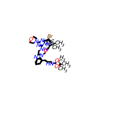 CC(C)(C)OC(=O)NCCCc1cccc2nc(CNc3nc(N4CCOCC4)nc4c(Br)cnn34)n(COCC[Si](C)(C)C)c12